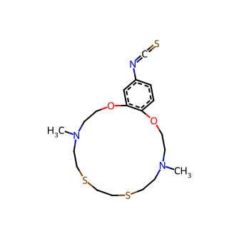 CN1CCOc2ccc(N=C=S)cc2OCCN(C)CCSCCSCC1